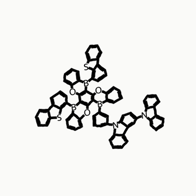 c1cc(B2c3ccccc3Oc3c2c2c(c4c3B(c3cccc5c3sc3ccccc35)c3ccccc3O4)B(c3cccc4c3sc3ccccc34)c3ccccc3O2)cc(-n2c3ccccc3c3cc(-n4c5ccccc5c5ccccc54)ccc32)c1